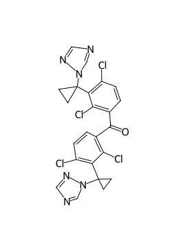 O=C(c1ccc(Cl)c(C2(n3cncn3)CC2)c1Cl)c1ccc(Cl)c(C2(n3cncn3)CC2)c1Cl